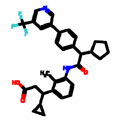 Cc1c(NC(=O)C(c2ccc(-c3cncc(C(F)(F)F)c3)cc2)C2CCCC2)cccc1C(CC(=O)O)C1CC1